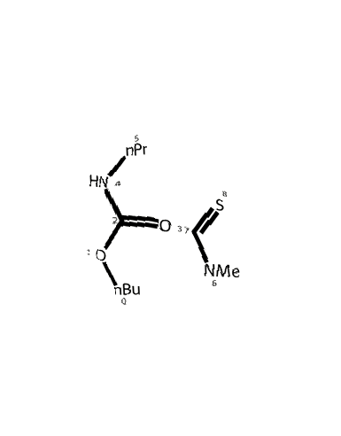 CCCCOC(=O)NCCC.CNC=S